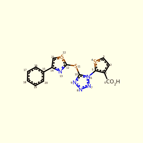 O=C(O)c1ccsc1-n1nnnc1Sc1nc(-c2ccccc2)cs1